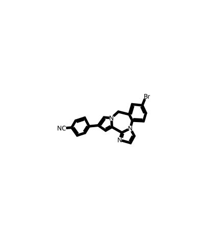 N#Cc1ccc(-c2cc3n(c2)Cc2cc(Br)ccc2-n2ccnc2-3)cc1